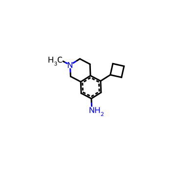 CN1CCc2c(cc(N)cc2C2CCC2)C1